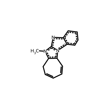 Cn1c2c(n3c4ccccc4nc13)C=CC=CC2